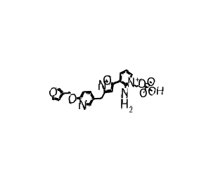 Nc1c(-c2cc(Cc3ccc(OCc4ccoc4)nc3)no2)ccc[n+]1COP(=O)([O-])O